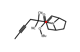 CC#CCC(C#N)(C#N)C1=CC2CCC(C1)N2C(=O)OC(C)(C)C